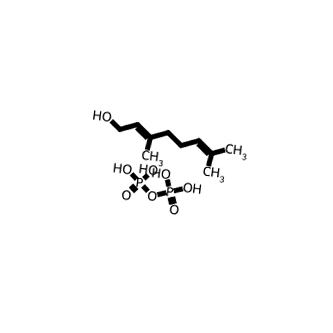 CC(C)=CCC/C(C)=C/CO.O=P(O)(O)OP(=O)(O)O